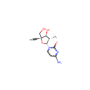 C#C[C@]1(CO)O[C@@H](n2ccc(N)nc2=O)[C@@H](C(F)(F)F)[C@@H]1O